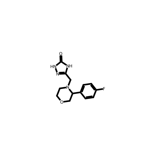 O=c1[nH]nc(CN2CCOCC2c2ccc(F)cc2)[nH]1